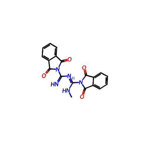 CN/C(=N\C(=N)N1C(=O)c2ccccc2C1=O)N1C(=O)c2ccccc2C1=O